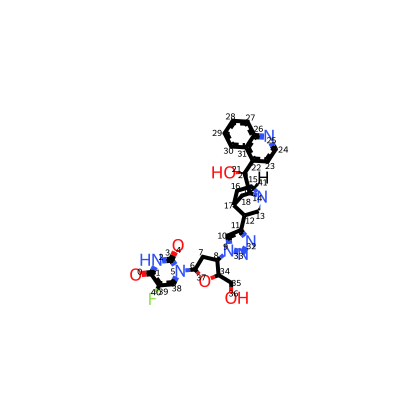 O=c1[nH]c(=O)n(C2CC(n3cc(C4C[N@@]5CCC4C[C@@H]5[C@@H](O)c4ccnc5ccccc45)nn3)C(CO)O2)cc1F